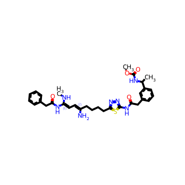 CN/C(=C\C=C(/N)CCCCc1nnc(NC(=O)Cc2cccc(C(C)NC(=O)OC)c2)s1)NC(=O)Cc1ccccc1